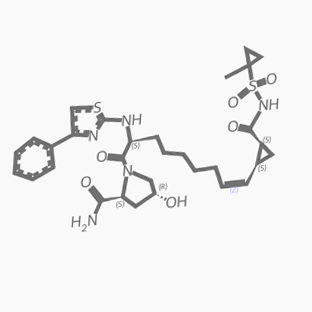 CC1(S(=O)(=O)NC(=O)[C@H]2C[C@H]2/C=C\CCCCC[C@H](Nc2nc(-c3ccccc3)cs2)C(=O)N2C[C@H](O)C[C@H]2C(N)=O)CC1